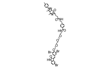 Cc1ccc(-n2nc3c(=O)n(CCCC(=O)NCCc4ccc(C(=O)NCCOCCOCCOCCOc5c(Br)cc(/C=C6\C(=O)Nc7ccc(Br)cc76)cc5Br)cc4)nc(C)c3c2C)cc1